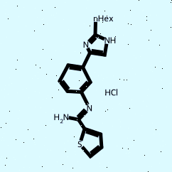 CCCCCCc1nc(-c2cccc(/N=C(\N)c3cccs3)c2)c[nH]1.Cl